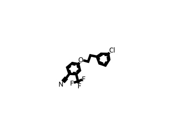 N#Cc1ccc(OCCc2cccc(Cl)c2)cc1C(F)(F)F